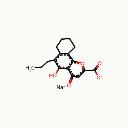 CCCc1c2c(c3oc(C(=O)[O-])cc(=O)c3c1O)CCCC2.[Na+]